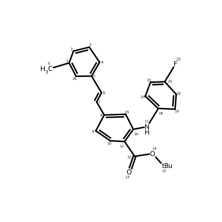 Cc1cccc(C=Cc2ccc(C(=O)OC(C)(C)C)c(Nc3ccc(F)cc3)c2)c1